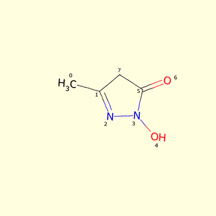 CC1=NN(O)C(=O)C1